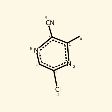 Cc1nc(Cl)cnc1C#N